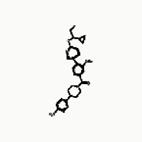 COc1cc(C(=O)N2CCC(c3ccc(N)nn3)CC2)ccc1-c1ccc(OC(CF)C2CC2)nc1